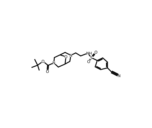 CC(C)(C)OC(=O)N1CC2CN(CCNS(=O)(=O)c3ccc(C#N)cc3)CC(C1)O2